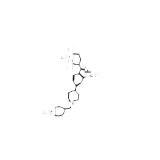 CC(C)n1nc(C2CCC(=O)NC2=O)c2ccc(C3CCN(CC4CCNCC4)CC3)cc21